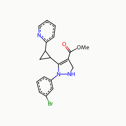 COC(=O)C1=C(C2CC2c2ccccn2)N(c2cccc(Br)c2)NC1